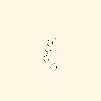 C=C(c1c(F)ccc(NS(C)(C)CCC)c1F)c1c[nH]c2ncc(-c3ccc(Cl)cc3)cc12